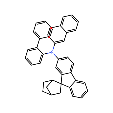 c1ccc(-c2ccccc2N(c2ccc3c(c2)C2(CC4CCC2C4)c2ccccc2-3)c2ccc3ccccc3c2)cc1